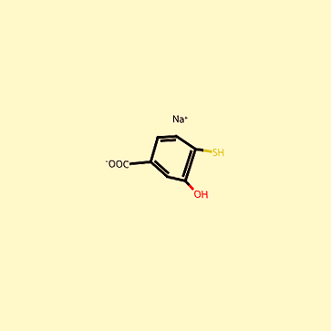 O=C([O-])c1ccc(S)c(O)c1.[Na+]